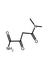 CN(C)C(=O)CC(=O)C(N)=O